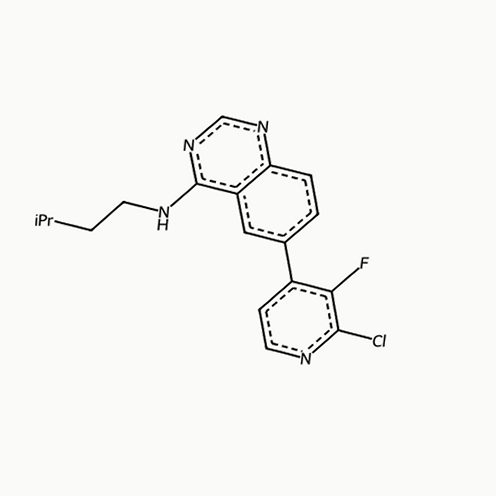 CC(C)CCNc1ncnc2ccc(-c3ccnc(Cl)c3F)cc12